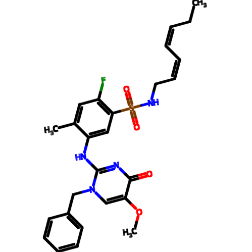 CC/C=C\C=C/CNS(=O)(=O)c1cc(Nc2nc(=O)c(OC)cn2Cc2ccccc2)c(C)cc1F